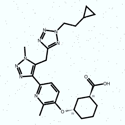 Cc1nc(-c2nnn(C)c2Cc2nnn(CCC3CC3)n2)ccc1O[C@H]1CCC[C@H](C(=O)O)C1